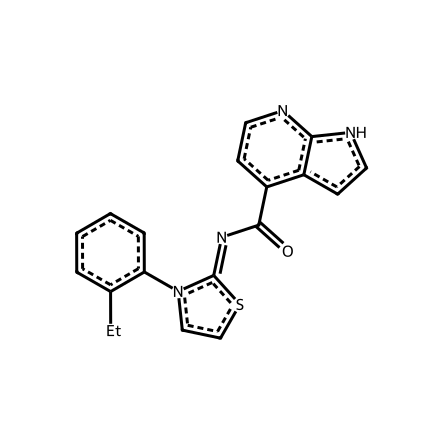 CCc1ccccc1-n1ccs/c1=N\C(=O)c1ccnc2[nH]ccc12